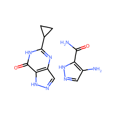 NC(=O)c1[nH]ncc1N.O=c1[nH]c(C2CC2)nc2cn[nH]c12